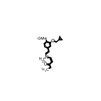 C=CC(=O)/C=C\N(C)/C=C/c1ccc(OC)c(OCC2CC2)c1